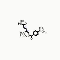 CC[C@H](/C=C(C)/C=C/C(=O)NO)C(=O)c1ccc(N(C)C)cc1